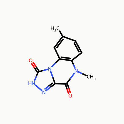 Cc1ccc2c(c1)n1c(=O)[nH]nc1c(=O)n2C